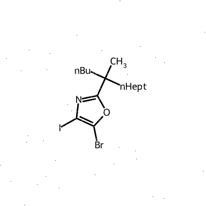 CCCCCCCC(C)(CCCC)c1nc(I)c(Br)o1